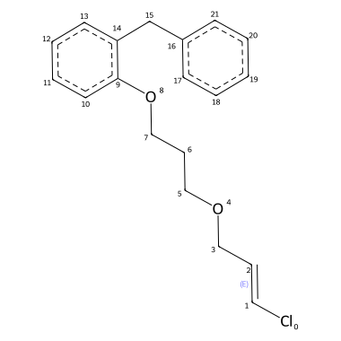 Cl/C=C/COCCCOc1ccccc1Cc1ccccc1